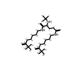 C=C(CCC(NC(C)(C)C)C(=C)NCCCCCC(=C)C(C)(C)C)NCCCCCC(=C)C(C)(C)C